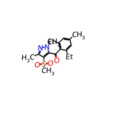 CCc1cc(C)cc(CC)c1C(=O)c1c(S(C)(=O)=O)c(C)nn1C